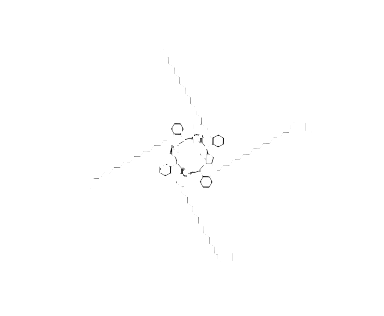 CCCCCCCCCCCCCCCCOc1ccccc1-c1c2nc(c(-c3ccccc3OCCCCCCCCCCCCCCCC)c3ccc([nH]3)c(-c3ccccc3OCCCCCCCCCCCCCCCC)c3nc(c(-c4ccccc4OCCCCCCCCCCCCCCCC)c4ccc1[nH]4)C=C3)C=C2